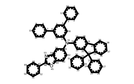 c1ccc(-c2cc(-c3ccccc3)cc(N(c3ccc4c(c3)C(c3ccccc3)(c3ccccc3)c3ccccc3-4)c3ccc4oc(-c5ccccc5)nc4c3)c2)cc1